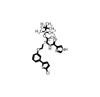 C[C@H](O[Si](C)(C)C(C)(C)C)[C@@H](CCOc1cccc(-c2ccc(Cl)s2)c1)NC(=O)c1c[nH]cn1